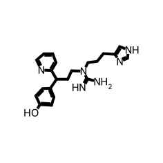 N=C(N)N(CCCc1c[nH]cn1)CCC(c1ccc(O)cc1)c1ccccn1